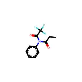 CCC(=O)N(C(=O)C(F)(F)F)c1ccccc1